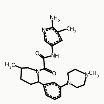 Cc1cc(NC(=O)C(=O)N2CC(C)CCC2c2cccc(N3CCN(C)CC3)c2)cnc1N